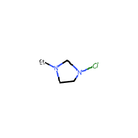 CCN1CCN(Cl)C1